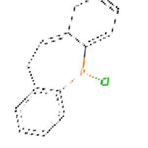 ClP1C2=CC=CCC2=CCc2ccccc21